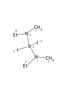 CCN(C)[Si](I)(I)N(C)CC